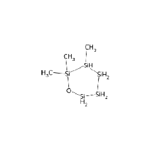 C[SiH]1[SiH2][SiH2][SiH2]O[Si]1(C)C